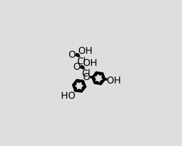 O=C(O)Cl.O=C(O)Cl.Oc1ccc(Oc2ccc(O)cc2)cc1